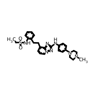 CCS(=O)(=O)Nc1ccccc1CCc1cccn2nc(Nc3ccc(N4CCN(C)CC4)cc3)nc12